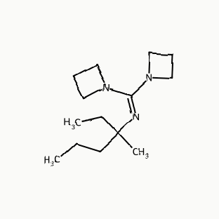 CCCC(C)(CC)N=C(N1CCC1)N1CCC1